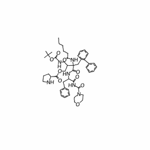 CCCCCC(=O)NC(Cc1ccccc1-c1ccccc1)(C(=O)NC(Cc1ccccc1)C(=O)NC(=O)N1CCOCC1)C(CNC(=O)OC(C)(C)C)COC(=O)[C@@H]1CCCN1